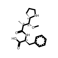 CO[C@@H]([C@@H]1CCCN1)[C@@H](C)C(=O)N[C@@H](Cc1ccccc1)C(=O)O